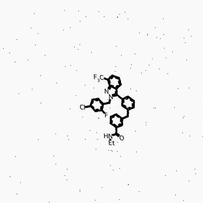 CCNC(=O)c1cccc(Cc2cccc(-c3c4cccc(C(F)(F)F)c4nn3Cc3ccc(Cl)cc3F)c2)c1